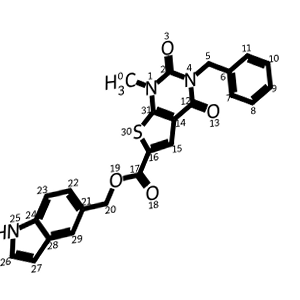 Cn1c(=O)n(Cc2ccccc2)c(=O)c2cc(C(=O)OCc3ccc4[nH]ccc4c3)sc21